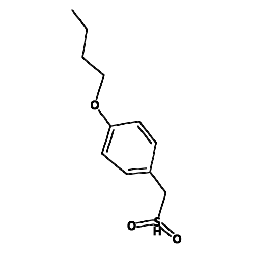 CCCCOc1ccc(C[SH](=O)=O)cc1